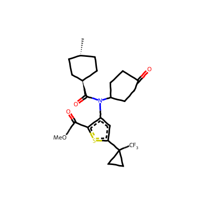 COC(=O)c1sc(C2(C(F)(F)F)CC2)cc1N(C(=O)[C@H]1CC[C@H](C)CC1)C1CCC(=O)CC1